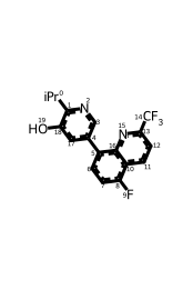 CC(C)c1ncc(-c2ccc(F)c3ccc(C(F)(F)F)nc23)cc1O